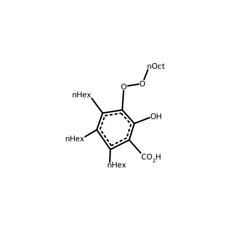 CCCCCCCCOOc1c(O)c(C(=O)O)c(CCCCCC)c(CCCCCC)c1CCCCCC